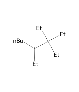 CCCC[C](CC)C(CC)(CC)CC